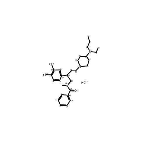 CCCN(CC)C1CCN(CCC(CN(C)C(=O)c2ccccc2)c2ccc(Cl)c(Cl)c2)CC1.Cl